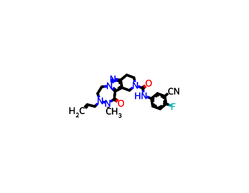 C=CCN1CCn2nc3c(c2C(=O)N1C)CN(C(=O)Nc1ccc(F)c(C#N)c1)CC3